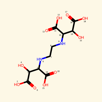 O=C(O)C(O)C(NCCNC(C(=O)O)C(O)C(=O)O)C(=O)O